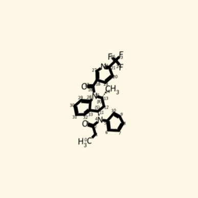 CCC(=O)N(c1ccccc1)[C@H]1C[C@@H](C)N(C(=O)c2ccc(C(F)(F)F)nc2)c2ccccc21